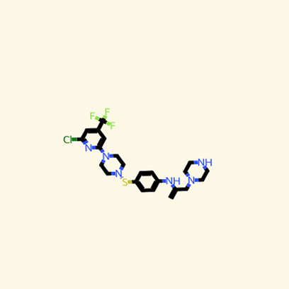 C=C(CN1CCNCC1)Nc1ccc(SN2CCN(c3cc(C(F)(F)F)cc(Cl)n3)CC2)cc1